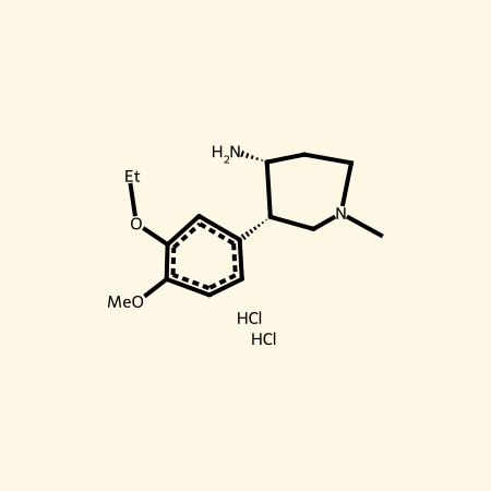 CCOc1cc([C@H]2CN(C)CC[C@H]2N)ccc1OC.Cl.Cl